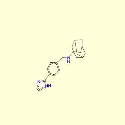 c1c[nH]c(-c2ccc(CNC34CC5CC(CC(C5)C3)C4)cc2)n1